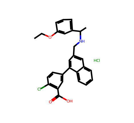 CCOc1cccc(C(C)NCc2cc(-c3ccc(Cl)c(C(=O)O)c3)c3ccccc3c2)c1.Cl